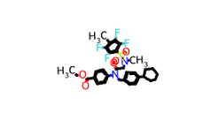 CCOC(=O)c1ccc(N(Cc2ccc(C3CCCCC3)cc2)C(=O)CN(C)S(=O)(=O)c2c(F)c(F)c(C)c(F)c2F)cc1